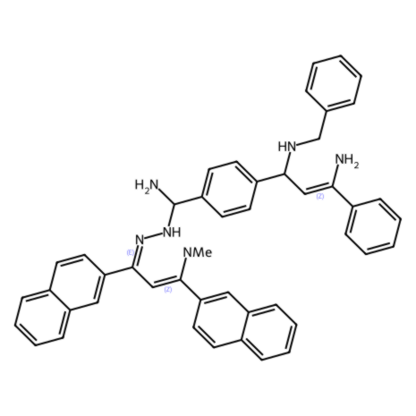 CN/C(=C\C(=N/NC(N)c1ccc(C(/C=C(\N)c2ccccc2)NCc2ccccc2)cc1)c1ccc2ccccc2c1)c1ccc2ccccc2c1